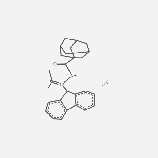 C[Si](C)=[Ti+2]([NH]C(=O)C12CC3CC(CC(C3)C1)C2)[CH]1c2ccccc2-c2ccccc21.[Cl-].[Cl-]